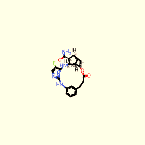 NC(=O)[C@H]1[C@H]2C[C@H]3[C@H]1Nc1nc(ncc1F)Nc1cccc(c1)CCC(=O)O[C@@H]3C2